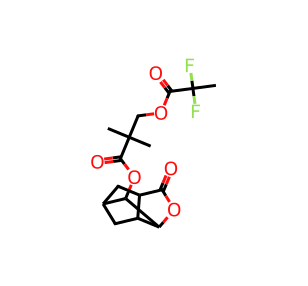 CC(F)(F)C(=O)OCC(C)(C)C(=O)OC1C2CC3C(=O)OC1C3C2